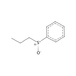 CCC[S@@+]([O-])c1ccccc1